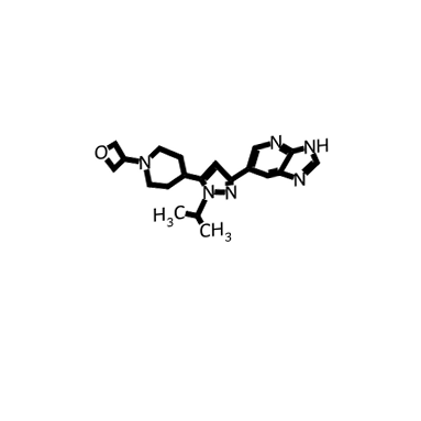 CC(C)n1nc(-c2cnc3[nH]cnc3c2)cc1C1CCN(C2COC2)CC1